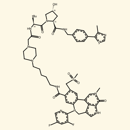 Cc1ncsc1-c1ccc(CNC(=O)[C@@H]2C[C@@H](O)CN2C(=O)[C@@H](NC(=O)CN2CCN(CCCCCNC(=O)c3cc4c(cc3CS(C)(=O)=O)-c3cn(C)c(=O)c5[nH]cc(c35)CN4c3ncc(F)cc3F)CC2)C(C)(C)C)cc1